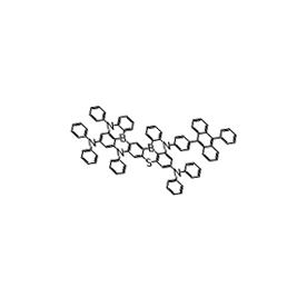 c1ccc(-c2c3ccccc3c(-c3ccc(N4c5ccccc5B5c6cc7c(cc6Sc6cc(N(c8ccccc8)c8ccccc8)cc4c65)N(c4ccccc4)c4cc(N(c5ccccc5)c5ccccc5)cc5c4B7c4ccccc4N5c4ccccc4)cc3)c3ccccc23)cc1